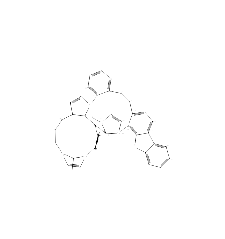 CC1N2C=CN1c1ccccc1C1C3C(C=CN3c3ccccc3CCc3ccc4c(oc5ccccc54)c3N3C=CN(C)C13)CCC2